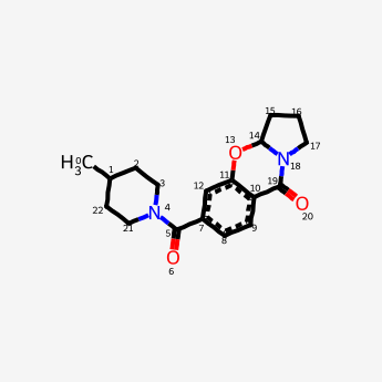 CC1CCN(C(=O)c2ccc3c(c2)OC2CCCN2C3=O)CC1